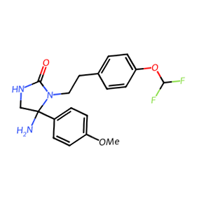 COc1ccc(C2(N)CNC(=O)N2CCc2ccc(OC(F)F)cc2)cc1